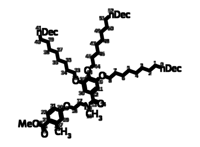 CCCCCCCCCCCCCCCCCCOc1cc(C(=O)N(C)CCOc2ccc(C(=O)OC)c(C)c2)cc(OCCCCCCCCCCCCCCCCCC)c1OCCCCCCCCCCCCCCCCCC